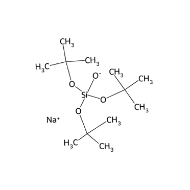 CC(C)(C)O[Si]([O-])(OC(C)(C)C)OC(C)(C)C.[Na+]